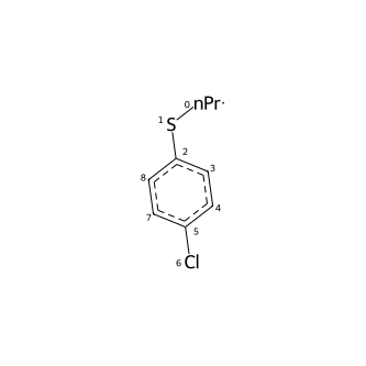 CC[CH]Sc1ccc(Cl)cc1